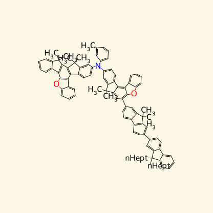 CCCCCCCC1(CCCCCCC)c2ccccc2-c2ccc(-c3ccc4c(c3)C(C)(C)c3cc(-c5cc6c(c7c5oc5ccccc57)-c5ccc(N(c7cccc(C)c7)c7ccc8c(c7)C(C)(C)c7c9c(c%10oc%11ccccc%11c%10c7-8)-c7ccccc7C9(C)C)cc5C6(C)C)ccc3-4)cc21